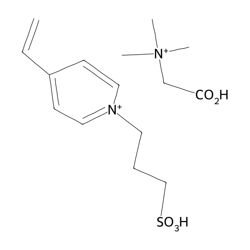 C=Cc1cc[n+](CCCS(=O)(=O)O)cc1.C[N+](C)(C)CC(=O)O